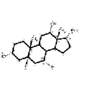 CCC[C@@H](C)[C@H]1CCC2C3C(C[C@H](O)[C@@]21C)[C@@]1(C)CC[C@@H](O)C[C@H]1C[C@H]3O